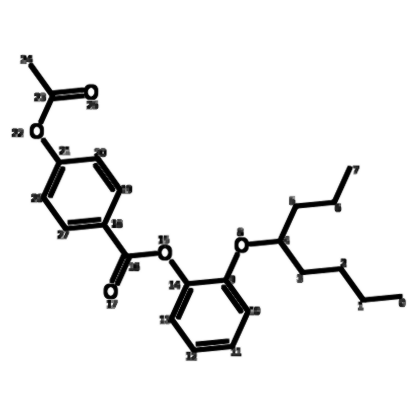 CCCCC(CCC)Oc1ccccc1OC(=O)c1ccc(OC(C)=O)cc1